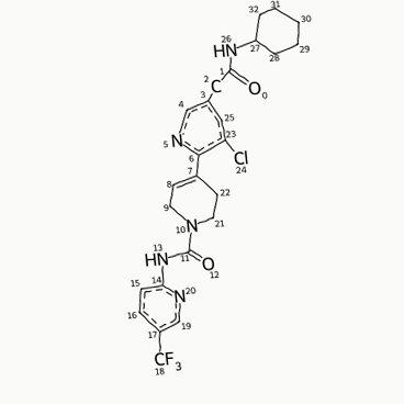 O=C(Cc1cnc(C2=CCN(C(=O)Nc3ccc(C(F)(F)F)cn3)CC2)c(Cl)c1)NC1CCCCC1